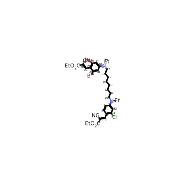 CCOC(=O)/C(C#N)=C/c1ccc(N(CC)CCCCCCCCN(CC)c2cc(Br)c(/C=C(\C#N)C(=O)OCC)c(Br)c2)cc1Cl